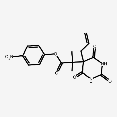 C=CCC1(C(C)(C)C(=O)Oc2ccc([N+](=O)[O-])cc2)C(=O)NC(=O)NC1=O